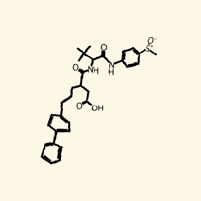 C[S+]([O-])c1ccc(NC(=O)C(NC(=O)C(CCCc2ccc(-c3ccccc3)cc2)CC(=O)O)C(C)(C)C)cc1